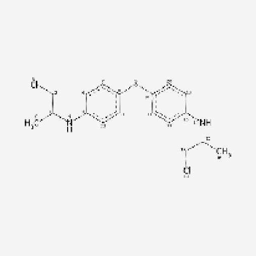 CC(CCl)Nc1ccc([CH]c2ccc(NC(C)CCl)cc2)cc1